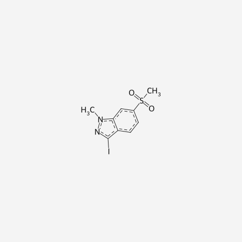 Cn1nc(I)c2ccc(S(C)(=O)=O)cc21